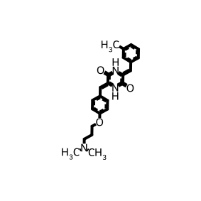 Cc1cccc(C=c2[nH]c(=O)c(=Cc3ccc(OCCCN(C)C)cc3)[nH]c2=O)c1